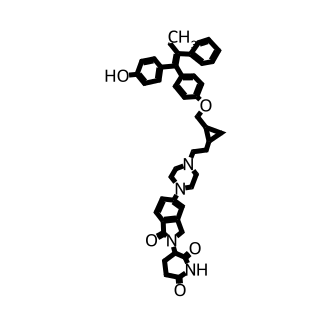 CC/C(=C(\c1ccc(O)cc1)c1ccc(OCC2CC2CCN2CCN(c3ccc4c(c3)CN(C3CCC(=O)NC3=O)C4=O)CC2)cc1)c1ccccc1